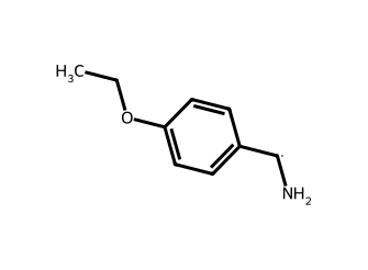 CCOc1ccc([CH]N)cc1